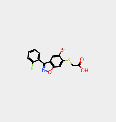 O=C(O)CSc1cc2onc(-c3ccccc3F)c2cc1Br